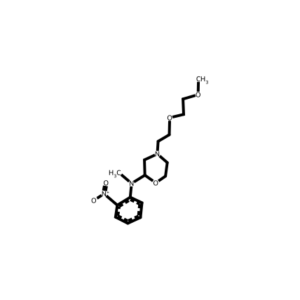 COCCOCCN1CCOC(N(C)c2ccccc2[N+](=O)[O-])C1